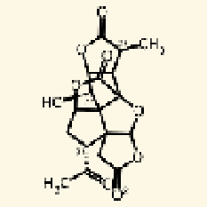 C=C(C)[C@@H]1CC2OC(=O)C34OC5OC(=O)CC51C23[C@@H](O)C1OC(=O)[C@@H](C)C14